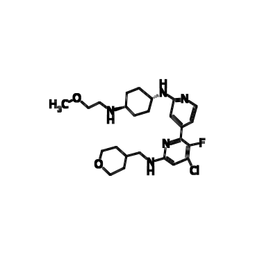 COCCN[C@H]1CC[C@H](Nc2cc(-c3nc(NCC4CCOCC4)cc(Cl)c3F)ccn2)CC1